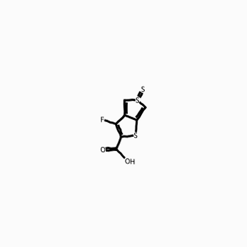 O=C(O)c1sc2c(c1F)=CS(=S)C=2